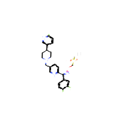 CS(=O)(=O)CO/N=C(/c1ccc(F)c(F)c1)c1ccc(CN2CCC(c3ccc(F)nc3)CC2)cn1